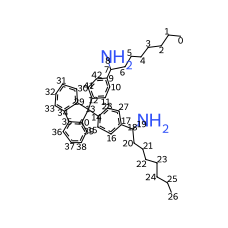 CCCCCCCC(N)c1ccc(C2(c3ccc(C(N)CCCCCCC)cc3)c3ccccc3-c3ccccc32)cc1